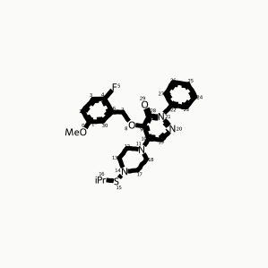 COc1ccc(F)c(COc2c(N3CCN(SC(C)C)CC3)cnn(-c3ccccc3)c2=O)c1